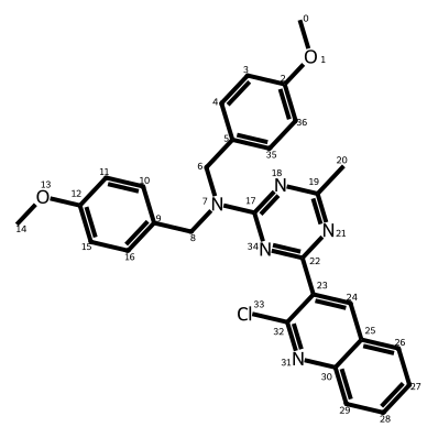 COc1ccc(CN(Cc2ccc(OC)cc2)c2nc(C)nc(-c3cc4ccccc4nc3Cl)n2)cc1